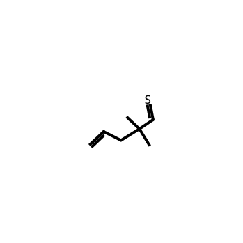 C=CCC(C)(C)C=S